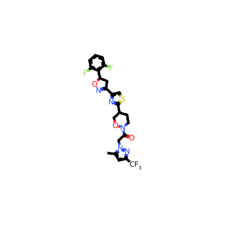 Cc1cc(C(F)(F)F)nn1CC(=O)N1CCC(c2nc(C3=NOC(c4c(F)cccc4F)C3)cs2)CO1